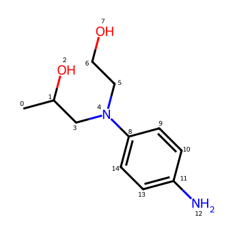 CC(O)CN(CCO)c1ccc(N)cc1